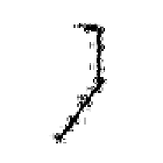 CCCNC(=O)c1ccc(OC(=O)OCCOCCNC(=O)CCOCCOCCNC(=O)CCSC2CC(=O)N(CCC(=O)NCCCCCN(O)C(=O)CCC(=O)NCCCCCN(O)C(=O)CCC(=O)NCCCCCN(O)C(C)=O)C2=O)cc1